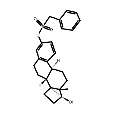 C[C@]12CC[C@@H]3c4ccc(OS(=O)(=O)Cc5ccccc5)cc4CC[C@H]3[C@@H]1CC[C@@H]2O